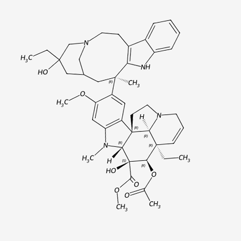 CCC1(O)CC2CN(CCc3c([nH]c4ccccc34)[C@@](C)(c3cc4c(cc3OC)N(C)[C@H]3[C@@](O)(C(=O)OC)[C@H](OC(C)=O)[C@]5(CC)C=CCN6CC[C@]43[C@@H]65)C2)C1